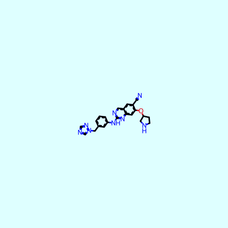 N#Cc1cc2cnc(Nc3cccc(Cn4cncn4)c3)nc2cc1OC1CCNC1